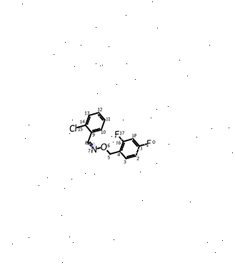 Fc1ccc(CO/N=[C]\c2ccccc2Cl)c(F)c1